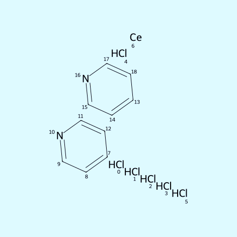 Cl.Cl.Cl.Cl.Cl.Cl.[Ce].c1ccncc1.c1ccncc1